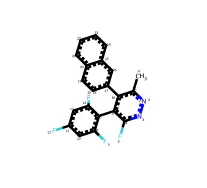 Cc1nnc(F)c(-c2c(F)cc(F)cc2F)c1-c1ccc2ccccc2c1